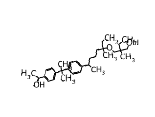 CCC(C)(CO)COC(C)(CC)CCCC(C)c1ccc(C(C)(C)c2ccc(C(C)O)cc2)cc1